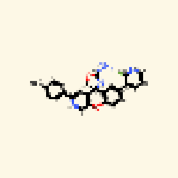 N#Cc1ccc(-c2cc3c(cn2)Oc2ccc(-c4cccnc4F)cc2[C@@]32COC(N)=N2)cc1